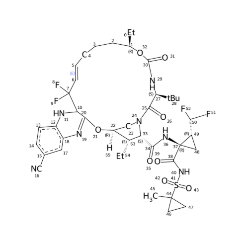 CC[C@@H]1CCC/C=C/C(F)(F)C2Nc3ccc(C#N)cc3N=C2O[C@H]2CN(C(=O)[C@H](C(C)(C)C)NC(=O)O1)[C@H](C(=O)N[C@]1(C(=O)NS(=O)(=O)C3(C)CC3)C[C@H]1C(F)F)[C@@H]2CC